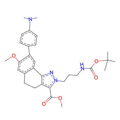 COC(=O)c1c2c(nn1CCCNC(=O)OC(C)(C)C)-c1cc(-c3ccc(N(C)C)cc3)c(OC)cc1CC2